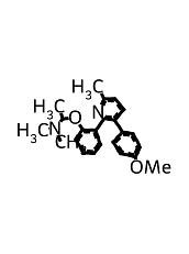 COc1ccc(-c2ccc(C)nc2-c2ccccc2OC(C)N(C)C)cc1